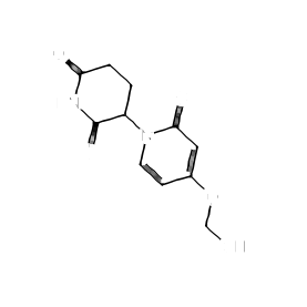 CCOc1ccn(C2CCC(=O)NC2=O)c(=O)c1